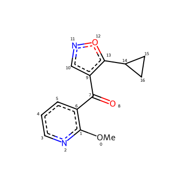 COc1ncccc1C(=O)c1cnoc1C1CC1